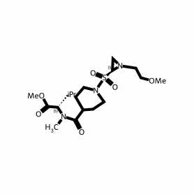 COCCN1C[C@@H]1S(=O)(=O)N1CCC(C(=O)N(C)[C@H](C(=O)OC)C(C)C)CC1